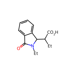 CCC(C(=O)O)C1c2ccccc2C(=O)N1CC